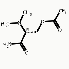 CN(C)[C@H](COC(=O)C(F)(F)F)C(N)=O